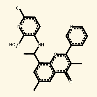 Cc1cc(C(C)Nc2ccc(Cl)nc2C(=O)O)c2oc(-c3cccnc3)c(C)c(=O)c2c1